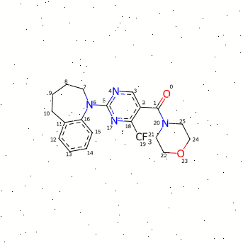 O=C(c1cnc(N2CCCCc3ccccc32)nc1C(F)(F)F)N1CCOCC1